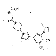 C[C@H]1CCN1c1nc(-c2cnn(C3CCN(C(=O)CNC(=O)O)CC3)c2)cc(C(F)(F)F)c1C#N